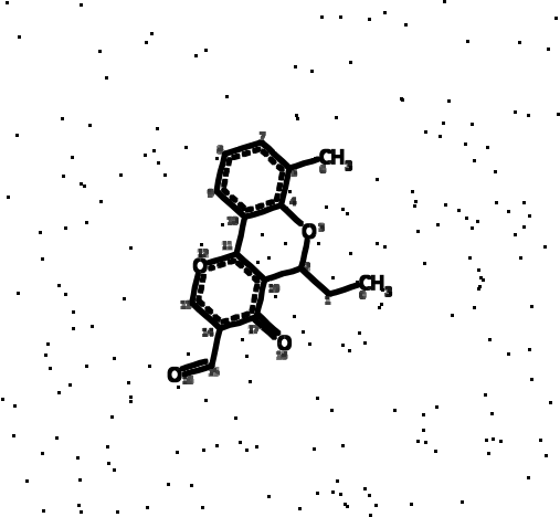 CCC1Oc2c(C)cccc2-c2occ(C=O)c(=O)c21